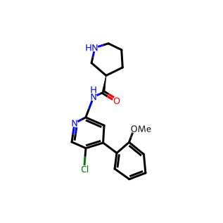 COc1ccccc1-c1cc(NC(=O)[C@@H]2CCCNC2)ncc1Cl